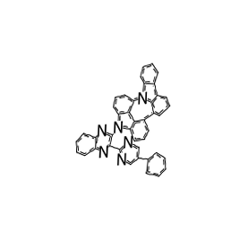 c1ccc(-c2cnc(-c3nc4ccccc4nc3-n3c4cccc5c6cccc7c8ccccc8n(c8cccc3c8c54)c67)nc2)cc1